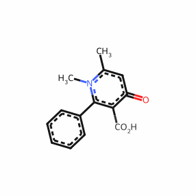 Cc1cc(=O)c(C(=O)O)c(-c2ccccc2)n1C